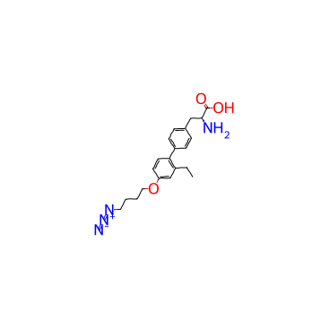 CCc1cc(OCCCCN=[N+]=[N-])ccc1-c1ccc(C[C@H](N)C(=O)O)cc1